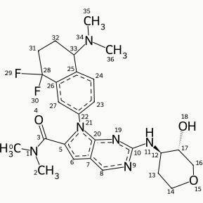 CN(C)C(=O)c1cc2cnc(N[C@@H]3CCOC[C@H]3O)nc2n1-c1ccc2c(c1)C(F)(F)CCC2N(C)C